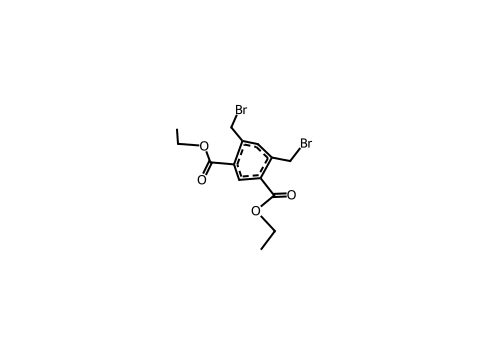 CCOC(=O)c1cc(C(=O)OCC)c(CBr)cc1CBr